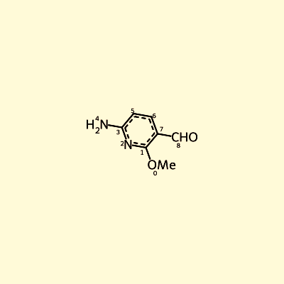 COc1nc(N)ccc1C=O